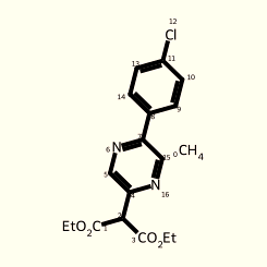 C.CCOC(=O)C(C(=O)OCC)c1cnc(-c2ccc(Cl)cc2)cn1